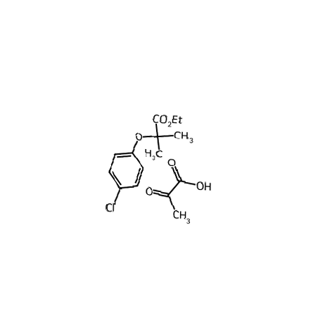 CC(=O)C(=O)O.CCOC(=O)C(C)(C)Oc1ccc(Cl)cc1